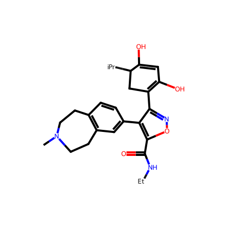 CCNC(=O)c1onc(C2=C(O)C=C(O)C(C(C)C)C2)c1-c1ccc2c(c1)CCN(C)CC2